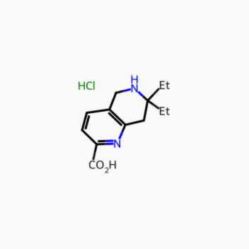 CCC1(CC)Cc2nc(C(=O)O)ccc2CN1.Cl